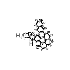 C=CC(=O)Nc1cc(-n2c(=O)ccc3cnc4ccc(-c5ccc6ccncc6c5)cc4c32)ccc1C